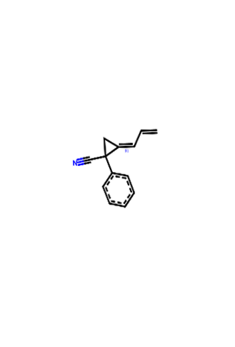 C=C/C=C1\CC1(C#N)c1ccccc1